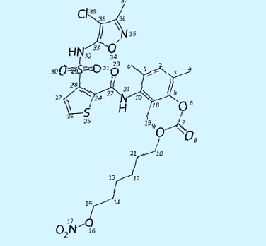 Cc1cc(C)c(OC(=O)OCCCCCCO[N+](=O)[O-])c(C)c1NC(=O)c1sccc1S(=O)(=O)Nc1onc(C)c1Cl